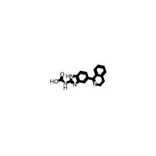 O=C(O)Nc1nc2cc(C3=NCCc4ccccc43)ccc2[nH]1